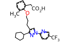 Cc1cccc(CC(=O)O)c1OCCCc1cn(-c2ccc(C(F)(F)F)cn2)nc1C1CCCCC1